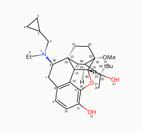 CCN(CC1CC1)[C@@H]1Cc2ccc(O)c3c2C2[C@@H](O3)[C@]3(OC)CC[C@]21C[C@@H]3[C@](C)(O)C(C)(C)C